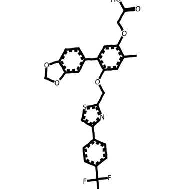 Cc1cc(OCc2nc(-c3ccc(C(F)(F)F)cc3)cs2)c(-c2ccc3c(c2)OCO3)cc1OCC(=O)O